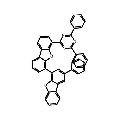 c1ccc(-c2cc(-c3cccc4c3oc3c(-c5nc(-c6ccccc6)nc(-c6ccccc6)n5)cccc34)c3oc4ccccc4c3c2)cc1